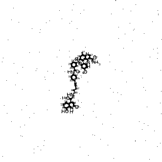 COc1cccc(Nc2c(C(N)=O)cnc3c(C)cc(S(=O)(=O)c4cccc(C(=O)Nc5ccc(C#CCCCNC[C@H](O)c6cc(=O)[nH]c7c(O)cccc67)cc5)c4)cc23)c1